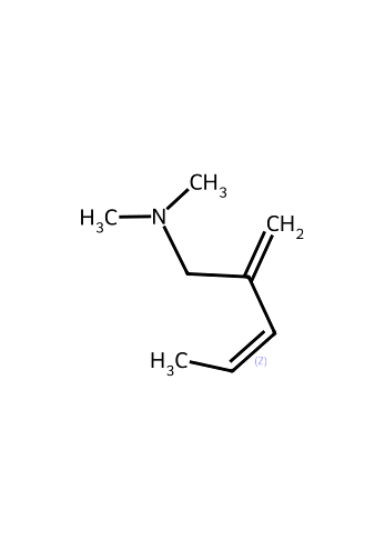 C=C(/C=C\C)CN(C)C